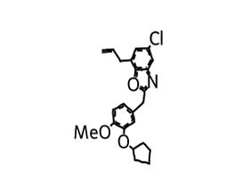 C=CCc1cc(Cl)cc2nc(Cc3ccc(OC)c(OC4CCCC4)c3)oc12